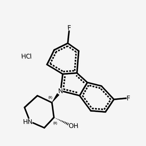 Cl.O[C@@H]1CNCC[C@H]1n1c2ccc(F)cc2c2cc(F)ccc21